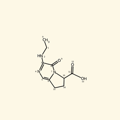 CCNc1ncc2n(c1=O)C(C(=O)O)CC2